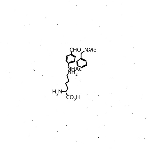 CC(=O)Nc1ccc(C=O)cc1.CNCc1ccccc1.NCCCC[C@H](N)C(=O)O